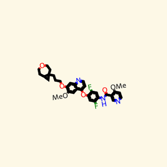 COc1cc2c(Oc3cc(F)c(NC(=O)c4cnccc4OC)cc3F)ccnc2cc1OCCCC12CCOCCC1C2